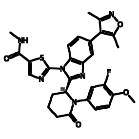 CNC(=O)c1cnc(-n2c([C@@H]3CCCC(=O)N3c3ccc(OC)c(F)c3)nc3cc(-c4c(C)noc4C)ccc32)s1